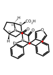 CCN(Cc1ccoc1)C(=O)N1[C@H]2CC[C@H]1[C@@H](C(=O)O)N(C(=O)N(c1ccccc1)c1ccccc1)C2